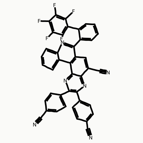 N#Cc1ccc(-c2nc3c(C#N)cc4c(-c5ccccc5-c5c(F)c(F)c(F)c(F)c5F)nc5ccccc5c4c3nc2-c2ccc(C#N)cc2)cc1